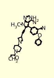 C=CC(=O)N1CCC(N2CC(C#Cc3c(-c4ccc(Oc5ccccc5)c(C#N)c4)c4c(N)ncnc4n3C)C2)CC1